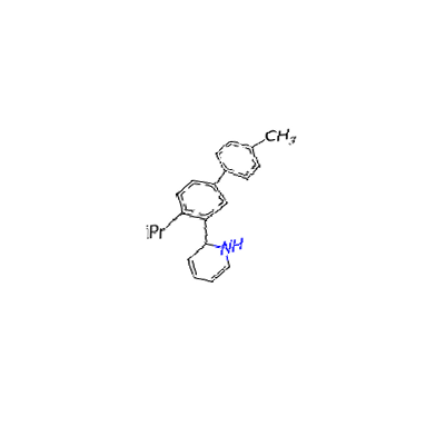 Cc1ccc(-c2ccc(C(C)C)c(C3C=CC=CN3)c2)cc1